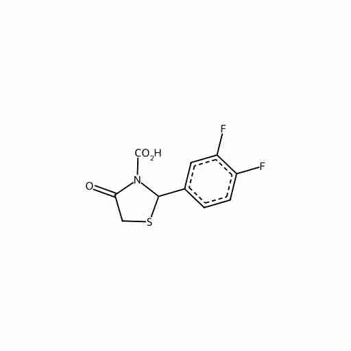 O=C(O)N1C(=O)CSC1c1ccc(F)c(F)c1